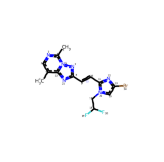 Cc1cnc(C)n2nc(/C=C/c3nc(Br)cn3CC(F)F)nc12